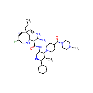 CCCC1(CC)/C=C\C(F)CNC(C(C(=O)NC2CNC(C3CCCCC3)C(C)C2N2CCC(C(=O)N3CCN(C)CC3)CC2)C(N)N)C1